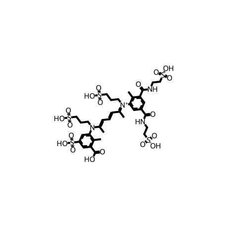 C\C(=C/C=C/C(C)=[N+](\CCCS(=O)(=O)O)c1cc(C(=O)NCCS(=O)(=O)O)cc(C(=O)NCCS(=O)(=O)O)c1C)N(CCCS(=O)(=O)O)c1cc(S(=O)(=O)O)cc(C(=O)O)c1C